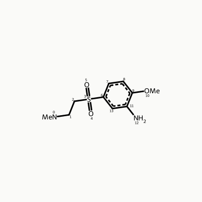 CNCCS(=O)(=O)c1ccc(OC)c(N)c1